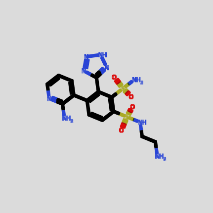 NCCNS(=O)(=O)c1ccc(-c2cccnc2N)c(-c2nn[nH]n2)c1S(N)(=O)=O